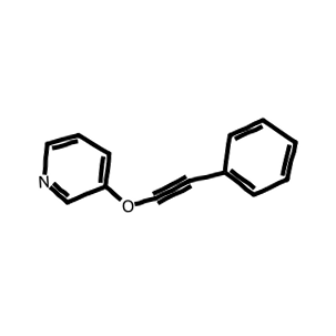 C(#Cc1ccccc1)Oc1cccnc1